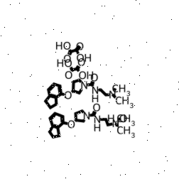 CN(C)CCNC(=O)N1CCC(Oc2cccc3c2CCC3)C1.CN(C)CCNC(=O)N1CCC(Oc2cccc3c2CCC3)C1.O.O=C(O)C(=O)O.O=C(O)C(=O)O